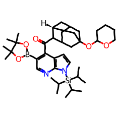 CC(C)[Si](C(C)C)(C(C)C)n1ccc2c(C(=O)C3C4CC5C[C@@H]3CC(OC3CCCCO3)(C5)C4)c(B3OC(C)(C)C(C)(C)O3)cnc21